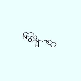 C[C@H](OC1=CCCc2cccnc21)C(=O)NCCCN1Cc2ccccc2C1